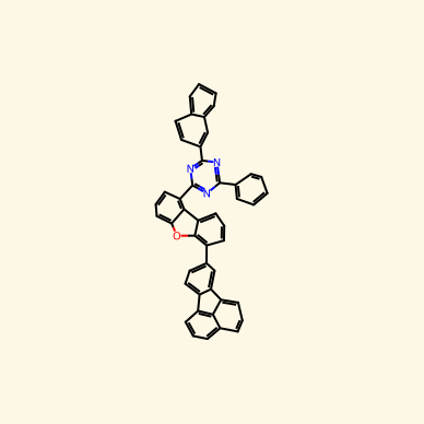 c1ccc(-c2nc(-c3ccc4ccccc4c3)nc(-c3cccc4oc5c(-c6ccc7c(c6)-c6cccc8cccc-7c68)cccc5c34)n2)cc1